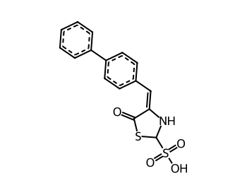 O=C1SC(S(=O)(=O)O)NC1=Cc1ccc(-c2ccccc2)cc1